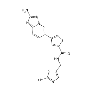 Nc1nc2ccc(-c3csc(C(=O)NCc4cnc(Cl)s4)c3)cn2n1